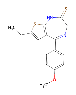 CCc1cc2c(s1)NC(=S)CN=C2c1ccc(OC)cc1